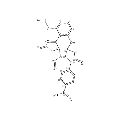 C=CCc1cccc2c1C(=O)C(CC=C)(CC=C)C(CC=C)(COc1ccc([N+](=O)[O-])cc1)O2